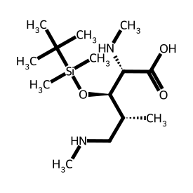 CNC[C@@H](C)[C@@H](O[Si](C)(C)C(C)(C)C)[C@H](NC)C(=O)O